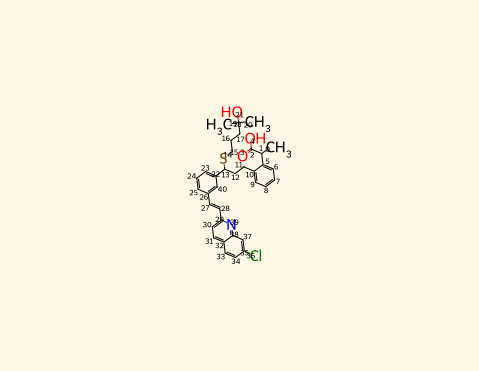 CC(C(=O)O)c1ccccc1CCC(SCCCC(C)(C)O)c1cccc(/C=C/c2ccc3ccc(Cl)cc3n2)c1